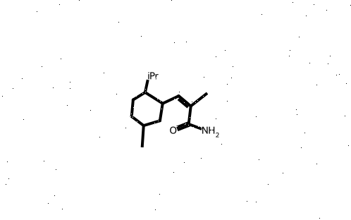 CC(=CC1CC(C)CCC1C(C)C)C(N)=O